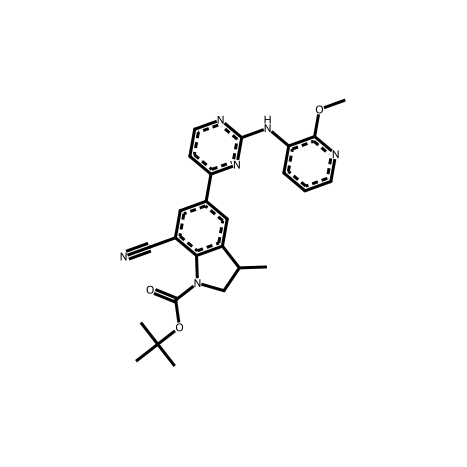 COc1ncccc1Nc1nccc(-c2cc(C#N)c3c(c2)C(C)CN3C(=O)OC(C)(C)C)n1